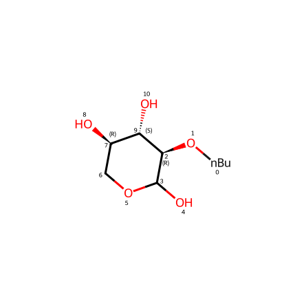 CCCCO[C@H]1C(O)OC[C@@H](O)[C@@H]1O